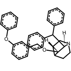 c1ccc(Oc2cccc(CO[C@H]3C4CCN(CC4)[C@@H]3C(c3ccccc3)c3ccccc3)c2)cc1